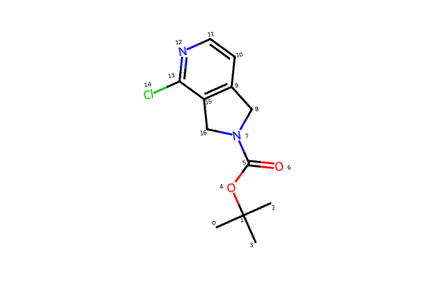 CC(C)(C)OC(=O)N1Cc2ccnc(Cl)c2C1